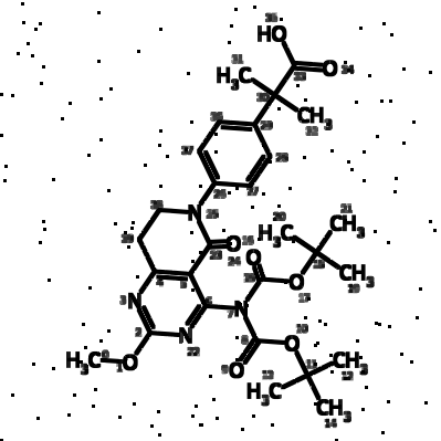 COc1nc2c(c(N(C(=O)OC(C)(C)C)C(=O)OC(C)(C)C)n1)C(=O)N(c1ccc(C(C)(C)C(=O)O)cc1)CC2